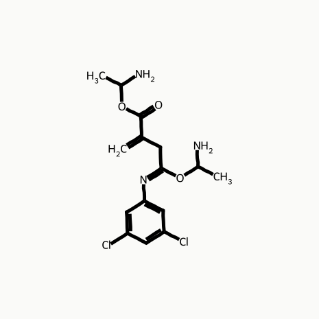 C=C(CC(=Nc1cc(Cl)cc(Cl)c1)OC(C)N)C(=O)OC(C)N